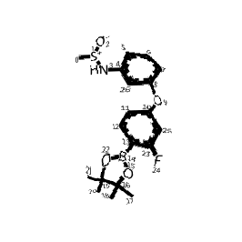 C[S+]([O-])Nc1cccc(Oc2ccc(B3OC(C)(C)C(C)(C)O3)c(F)c2)c1